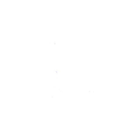 CC(NC(=O)c1cccc2c1N(Cc1cccc(C(N)=O)c1)CC2)c1ccc(C(=O)O)cc1